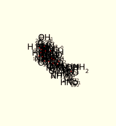 CC(C)C[C@H](NC(=O)[C@H](CC(C)C)NC(=O)[C@H](Cc1ccc(O)cc1)NC(=O)CNC(=O)[C@H](C)NC(=O)[C@H](CO)NC(=O)[C@H](CC(N)=O)NC(=O)[C@H](CC(C)C)NC(=O)[C@@H](NC(=O)[C@H](Cc1c[nH]c2ccccc12)NC(=O)CN)[C@@H](C)O)C(=O)NCC(=O)N1CCC[C@H]1C(=O)N[C@@H](CC1C=NC=N1)C(=O)N[C@@H](C)C(=O)N[C@H](C(N)=O)C(C)C